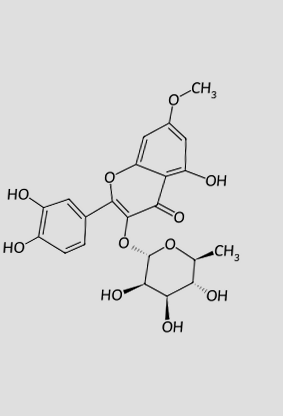 COc1cc(O)c2c(=O)c(O[C@@H]3O[C@@H](C)[C@H](O)[C@@H](O)[C@H]3O)c(-c3ccc(O)c(O)c3)oc2c1